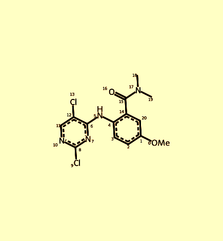 COc1ccc(Nc2nc(Cl)ncc2Cl)c(C(=O)N(C)C)c1